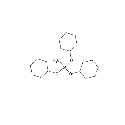 FC(F)(F)[Si](OC1CCCCC1)(OC1CCCCC1)OC1CCCCC1